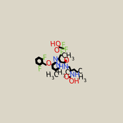 CCCC(C)(CNC(=O)c1c(CC)nc2c(OCc3c(F)cccc3F)cc(C)cn12)NC(=O)O.O=C(O)C(F)(F)F